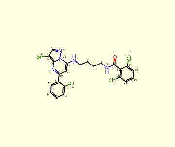 O=C(NCCCCNc1cc(-c2ccccc2Cl)nc2c(Br)cnn12)c1c(Cl)cccc1Cl